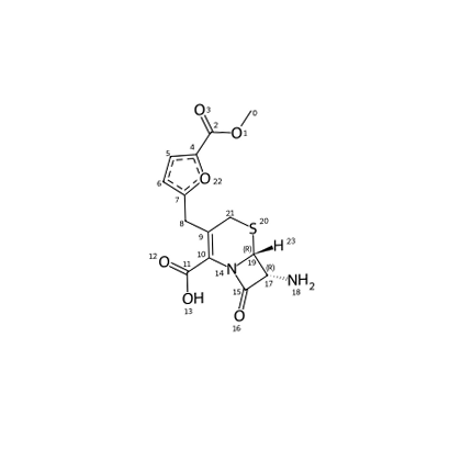 COC(=O)c1ccc(CC2=C(C(=O)O)N3C(=O)[C@@H](N)[C@H]3SC2)o1